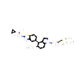 Cc1ccc2c(ccn2COCCS(C)(C)C)c1-c1ccc2sc(NC(=O)[C@@H]3C[C@@H]3F)nc2c1